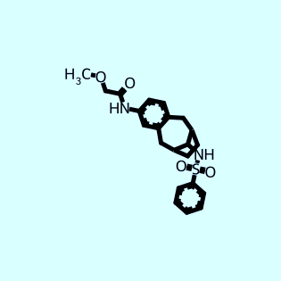 COCC(=O)Nc1ccc2c(c1)CC1CCC(C2)C1NS(=O)(=O)c1ccccc1